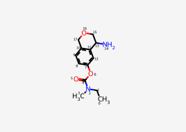 CCN(C)C(=O)Oc1ccc2c(c1)C(N)COC2